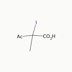 CC(=O)C(C)(I)C(=O)O